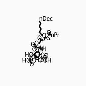 CCCCCCCCCCCCCCCC(=O)O[C@H](CCSC(=O)CCC)COP(=O)(O)OC1C(O)[C@@H](OP(=O)(O)O)C(O)[C@@H](OP(=O)(O)O)[C@H]1O